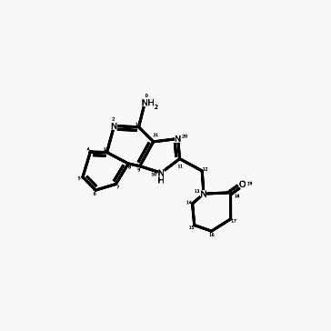 Nc1nc2ccccc2c2[nH]c(CN3CCCCC3=O)nc12